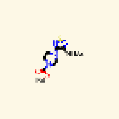 CC(=O)Nc1nsnc1N1CCN(C(=O)OC(C)(C)C)CC1